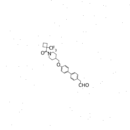 O=CCc1ccc(-c2ccc(OCC3CCN(C(=O)C4(C(F)(F)F)CCC4)CC3)cc2)cc1